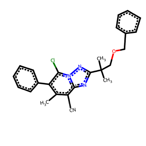 Cc1c(-c2ccccc2)c(Cl)n2nc(C(C)(C)COCc3ccccc3)nc2c1C#N